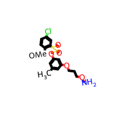 COc1ccc(Cl)cc1S(=O)(=O)Oc1cc(C)cc(OCCCON)c1